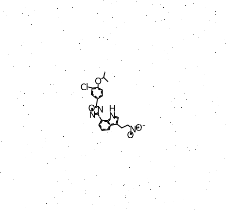 CC(C)Oc1ccc(-c2nc(-c3cccc4c(CC[N+](=O)[O-])c[nH]c34)no2)cc1Cl